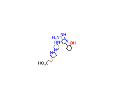 N=C(N)c1nnc(-c2ccccc2O)cc1NC1CCN(c2ncc(OCC(=O)O)cn2)CC1